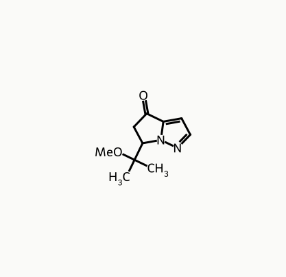 COC(C)(C)C1CC(=O)c2ccnn21